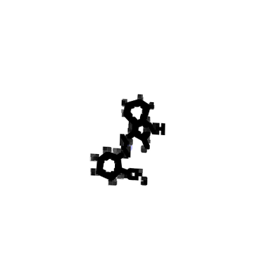 Cc1[nH]c2ccccc2c1/N=N/c1ccccc1C(F)(F)F